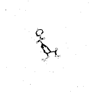 COc1ccc(S(=O)(=O)N2CCSCC2)cc1C(=O)O